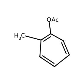 CC(=O)Oc1[c]cccc1C